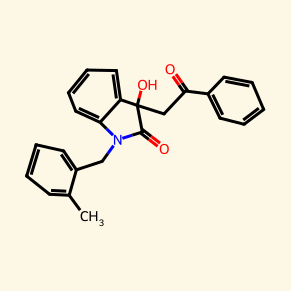 Cc1ccccc1CN1C(=O)C(O)(CC(=O)c2ccccc2)c2ccccc21